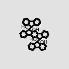 OC1(C2(O)c3ccccc3-c3cc4c(cc32)-c2ccccc2C4(O)C2(O)c3ccccc3-c3ccccc32)c2ccccc2-c2ccccc21